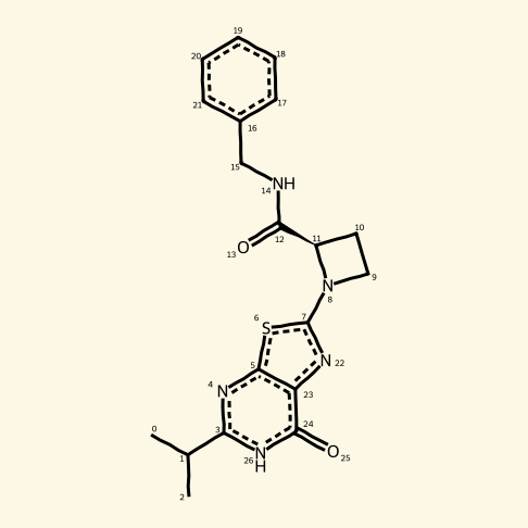 CC(C)c1nc2sc(N3CC[C@@H]3C(=O)NCc3ccccc3)nc2c(=O)[nH]1